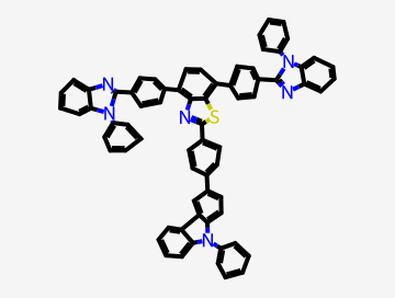 c1ccc(-n2c(-c3ccc(-c4ccc(-c5ccc(-c6nc7ccccc7n6-c6ccccc6)cc5)c5sc(-c6ccc(-c7ccc8c(c7)c7ccccc7n8-c7ccccc7)cc6)nc45)cc3)nc3ccccc32)cc1